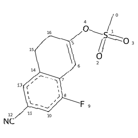 CS(=O)(=O)OC1=Cc2c(F)cc(C#N)cc2CC1